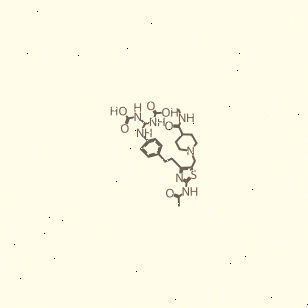 CNC(=O)C1CCN(Cc2sc(NC(C)=O)nc2CCc2ccc(NC(NC(=O)O)NC(=O)O)cc2)CC1